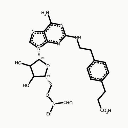 CCN(C=O)OC[C@H]1O[C@@H](n2cnc3c(N)nc(NCCc4ccc(CCC(=O)O)cc4)nc32)C(O)C1O